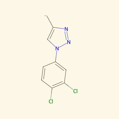 [CH2]c1cn(-c2ccc(Cl)c(Cl)c2)nn1